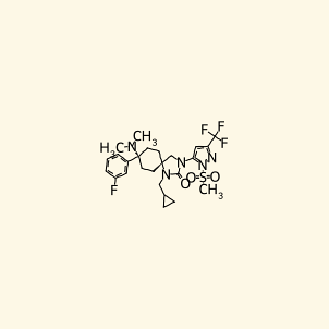 CN(C)[C@]1(c2cccc(F)c2)CC[C@@]2(CC1)CN(c1cc(C(F)(F)F)nn1S(C)(=O)=O)C(=O)N2CC1CC1